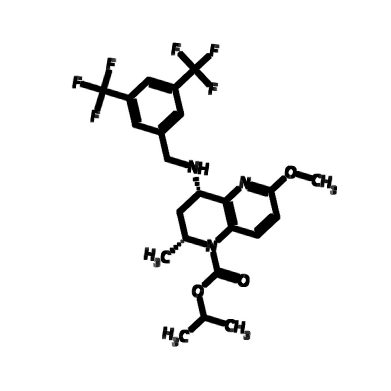 COc1ccc2c(n1)[C@@H](NCc1cc(C(F)(F)F)cc(C(F)(F)F)c1)C[C@@H](C)N2C(=O)OC(C)C